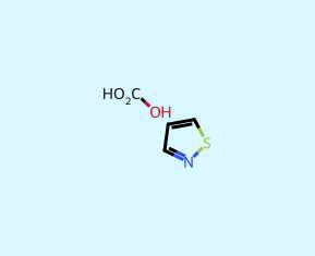 O=C(O)O.c1cnsc1